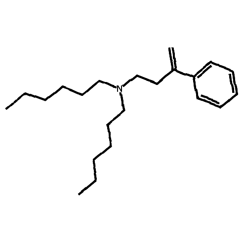 C=C(CCN(CCCCCC)CCCCCC)c1ccccc1